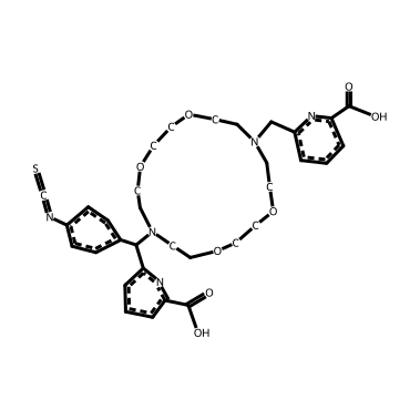 O=C(O)c1cccc(CN2CCOCCOCCN(C(c3ccc(N=C=S)cc3)c3cccc(C(=O)O)n3)CCOCCOCC2)n1